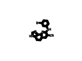 N#Cc1cc2ccc3[nH]cnc3c2nc1Nc1cccc(Br)c1